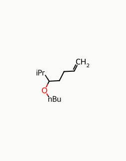 C=CCCC(OCCCC)C(C)C